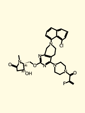 C=C(F)C(=O)N1CCN(c2nc(OC[C@@H]3[C@H](O)CC(=O)N3C)nc3c2CCN(c2cccc4cccc(Cl)c24)C3)CC1